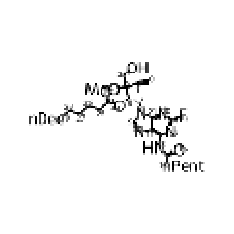 C#CC(CO)(OC)[C@H](Cn1cnc2c(NC(=O)CCCCC)nc(F)nc21)OC(=O)CCCCCCCCCCCCCC